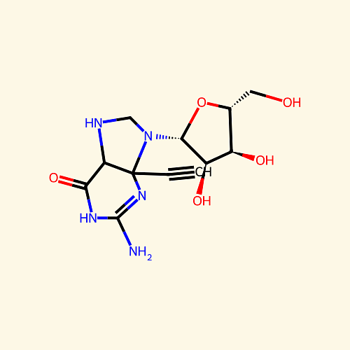 C#CC12N=C(N)NC(=O)C1NCN2[C@@H]1O[C@H](CO)[C@@H](O)[C@H]1O